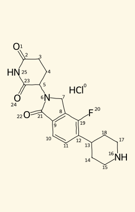 Cl.O=C1CCC(N2Cc3c(ccc(C4CCNCC4)c3F)C2=O)C(=O)N1